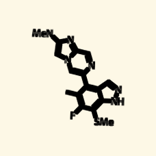 CNc1cn2cc(-c3c(C)c(F)c(SC)c4[nH]ncc34)ncc2n1